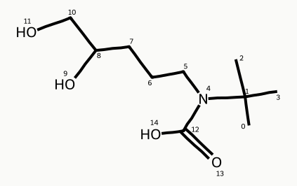 CC(C)(C)N(CCCC(O)CO)C(=O)O